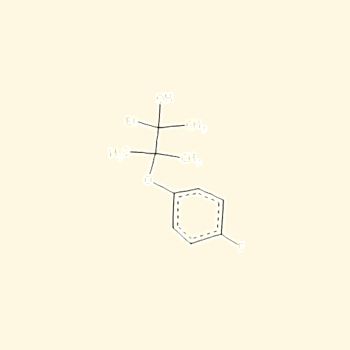 [CH2]CC(C)(O)C(C)(C)Oc1ccc(F)cc1